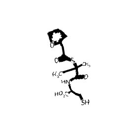 CC(C)(SC(=O)c1ccco1)C(=O)N[C@@H](CS)C(=O)O